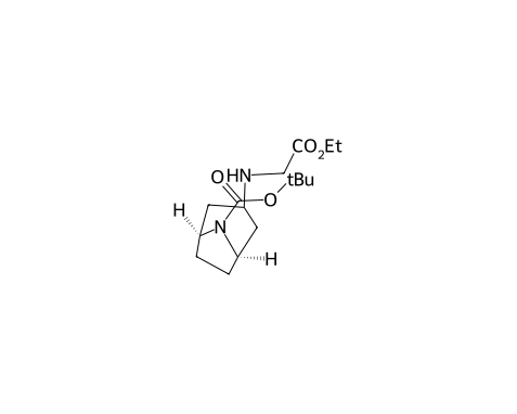 CCOC(=O)CNC1C[C@H]2CC[C@@H](C1)N2C(=O)OC(C)(C)C